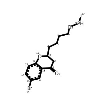 O=C1CC(CCCCOPI)Oc2ccc(Br)cc21